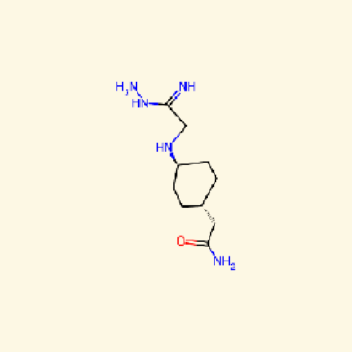 N=C(CN[C@H]1CC[C@H](CC(N)=O)CC1)NN